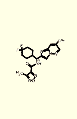 CCCc1cnn2cc([C@@H](NC(=O)c3nonc3C)C3CCC(F)(F)CC3)nc2c1